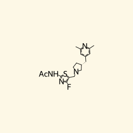 CC(=O)Nc1nc(F)c(CN2CC[C@H](Cc3cc(C)nc(C)c3)C2)s1